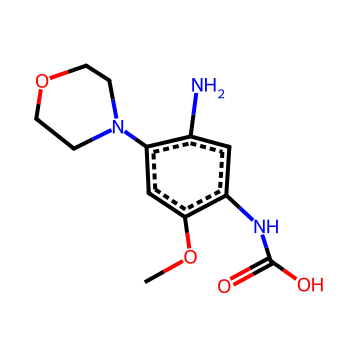 COc1cc(N2CCOCC2)c(N)cc1NC(=O)O